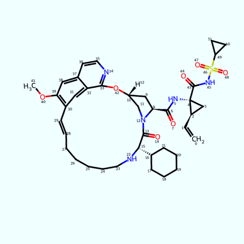 C=C[C@@H]1C[C@]1(NC(=O)[C@@H]1C[C@@H]2CN1C(=O)[C@H](C1CCCCC1)NCCCCC/C=C/c1cc3c(nccc3cc1OC)O2)C(=O)NS(=O)(=O)C1CC1